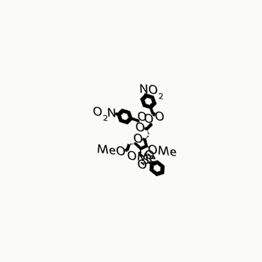 COC(C[C@@H]1O[C@H](C[C@@H](COC(=O)c2ccc([N+](=O)[O-])cc2)OC(=O)c2ccc([N+](=O)[O-])cc2)[C@H](OC)[C@H]1CS(=O)(=O)c1ccccc1)OC